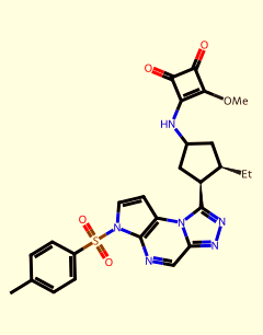 CC[C@@H]1CC(Nc2c(OC)c(=O)c2=O)C[C@@H]1c1nnc2cnc3c(ccn3S(=O)(=O)c3ccc(C)cc3)n12